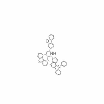 CCC1C(c2cccc3sc4ccc(-c5ccc6c(c5)c5ccccc5n6-c5ccccc5)cc4c23)=CC(c2ccc3c(c2)oc2ccccc23)NC1c1ccccc1